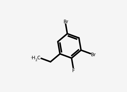 [CH2]Cc1cc(Br)cc(Br)c1F